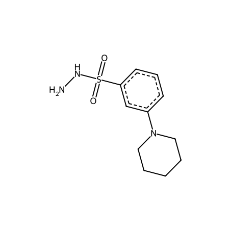 NNS(=O)(=O)c1cccc(N2CCCCC2)c1